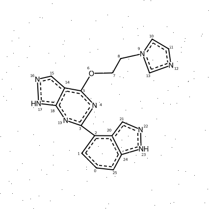 c1cc(-c2nc(OCCn3ccnc3)c3cn[nH]c3n2)c2cn[nH]c2c1